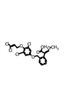 COC=C(C(=O)O)c1ccccc1COc1cc(Cl)c(OCC=C(Cl)Cl)c(Cl)c1